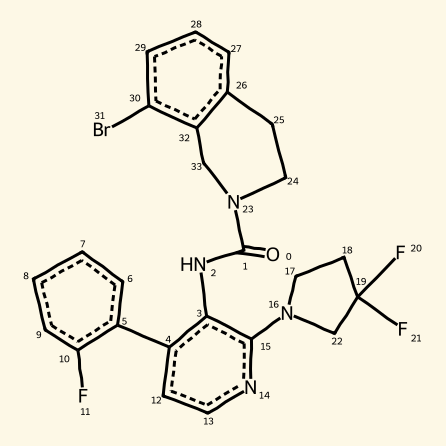 O=C(Nc1c(-c2ccccc2F)ccnc1N1CCC(F)(F)C1)N1CCc2cccc(Br)c2C1